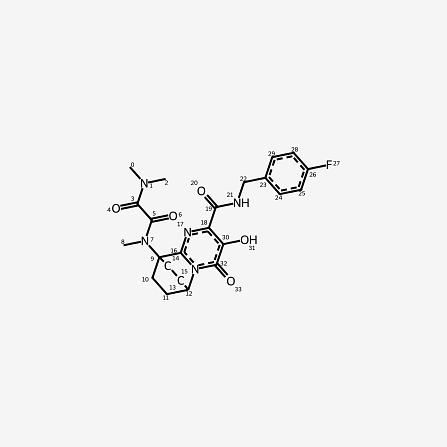 CN(C)C(=O)C(=O)N(C)C12CCC(CC1)n1c2nc(C(=O)NCc2ccc(F)cc2)c(O)c1=O